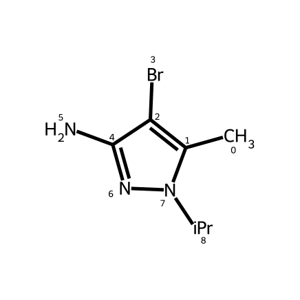 Cc1c(Br)c(N)nn1C(C)C